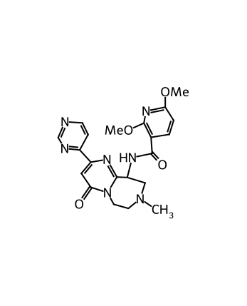 COc1ccc(C(=O)NC2CN(C)CCn3c2nc(-c2ccncn2)cc3=O)c(OC)n1